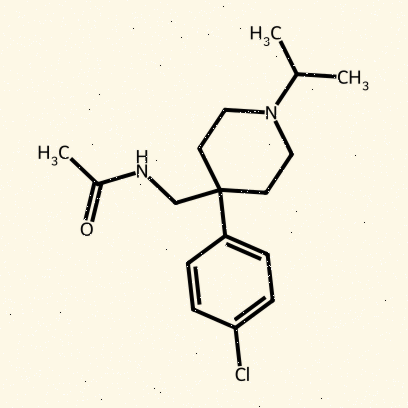 CC(=O)NCC1(c2ccc(Cl)cc2)CCN(C(C)C)CC1